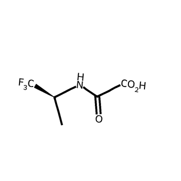 C[C@H](NC(=O)C(=O)O)C(F)(F)F